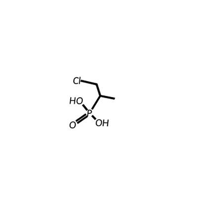 CC(CCl)P(=O)(O)O